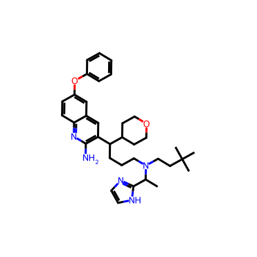 CC(c1ncc[nH]1)N(CCCC(c1cc2cc(Oc3ccccc3)ccc2nc1N)C1CCOCC1)CCC(C)(C)C